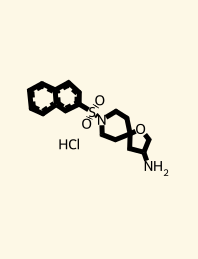 Cl.NC1COC2(CCN(S(=O)(=O)c3ccc4ccccc4c3)CC2)C1